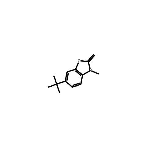 C=C1Oc2cc(C(C)(C)C)ccc2N1C